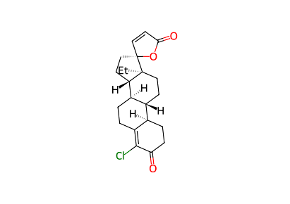 CC[C@]12CC[C@H]3[C@@H](CCC4=C(Cl)C(=O)CC[C@@H]43)[C@@H]1CC[C@@]21C=CC(=O)O1